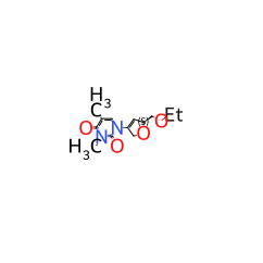 CCOC[C@@H]1C=C(n2cc(C)c(=O)n(C)c2=O)CO1